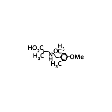 COc1cc(C)c(CC(=O)NCC(C)C(=O)O)c(C)c1